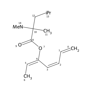 C=C/C=C\C(=C/C)OC(=O)C(C)(CC(C)C)NC